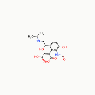 CC(C)NCC(O)c1ccc(O)c(NC=O)c1/C(=C/C(=O)O)C(=O)O